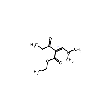 CCOC(=O)/C(=C\N(C)C)C(=O)CC